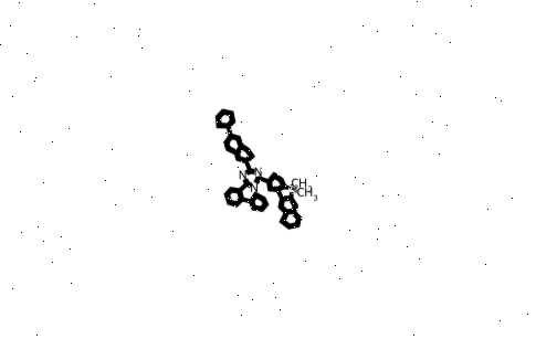 C[Si]1(C)c2ccc(-c3nc(-c4ccc5cc(-c6ccccc6)ccc5c4)nc(-c4ccccc4-c4ccccc4)n3)cc2-c2cc3ccccc3cc21